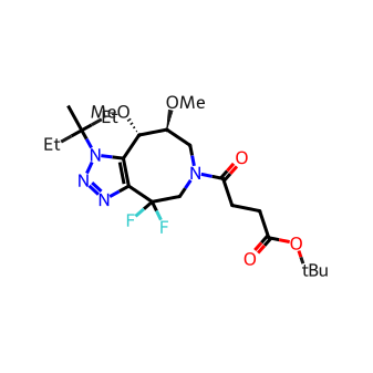 CCC(C)(CC)n1nnc2c1[C@H](OC)[C@@H](OC)CN(C(=O)CCC(=O)OC(C)(C)C)CC2(F)F